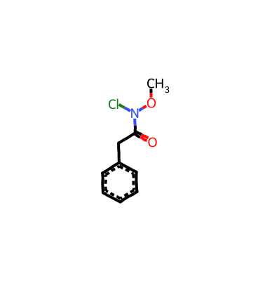 CON(Cl)C(=O)Cc1ccccc1